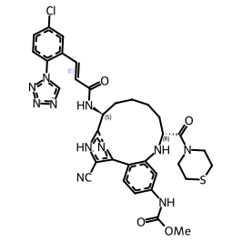 COC(=O)Nc1ccc2c(c1)N[C@@H](C(=O)N1CCSCC1)CCCC[C@H](NC(=O)/C=C/c1cc(Cl)ccc1-n1cnnn1)c1nc-2c(C#N)[nH]1